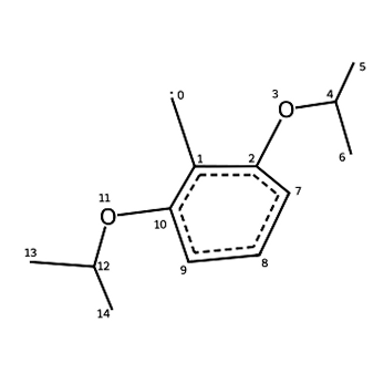 [CH2]c1c(OC(C)C)cccc1OC(C)C